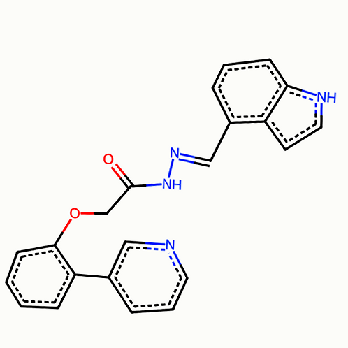 O=C(COc1ccccc1-c1cccnc1)NN=Cc1cccc2[nH]ccc12